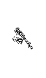 Nc1c(Cl)cc(C[C@@H](OC(=O)N2CCC(N3CCc4ccccc4NC3=O)CC2)C(=O)N2CCN(c3ccc(C(=O)OCC(=O)N4CCCCC4)cn3)CC2)cc1C(F)(F)F